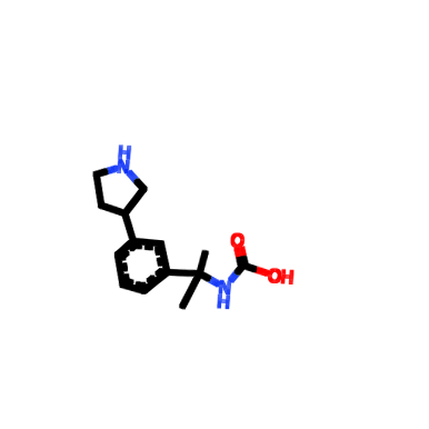 CC(C)(NC(=O)O)c1cccc(C2CCNC2)c1